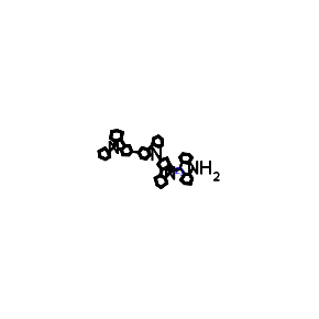 Nc1ccccc1/C(c1ccccc1)=c1/c2cc(-n3c4ccccc4c4cc(-c5ccc6c(c5)c5ccccc5n6-c5ccccc5)ccc43)cc3c4ccccc4n1c23